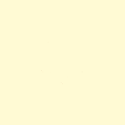 CC(=O)OCCN(C)C(=O)CN(C)C(=O)OC(C)(C)C